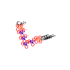 O=P([O-])([O-])[O-].O=P([O-])([O-])[O-].O=[N+]([O-])[O-].O=[N+]([O-])[O-].O=[N+]([O-])[O-].O=[N+]([O-])[O-].[Ca+2].[Ca+2].[Ca+2].[Ca+2].[Ca+2]